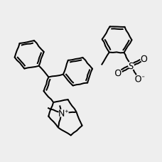 C[N+]1(C)C2CCC1CC(C=C(c1ccccc1)c1ccccc1)C2.Cc1ccccc1S(=O)(=O)[O-]